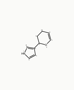 C1=COC(c2cc[nH]n2)CC1